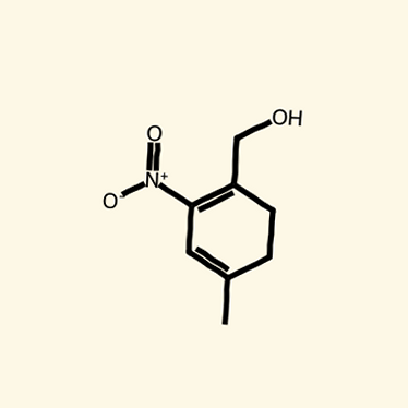 CC1=CC([N+](=O)[O-])=C(CO)CC1